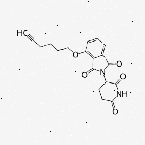 C#CCCCCOc1cccc2c1C(=O)N(C1CCC(=O)NC1=O)C2=O